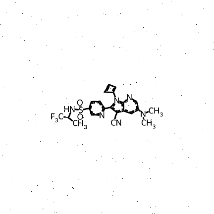 C[C@H](NS(=O)(=O)c1ccc(-c2c(C#N)c3cc(N(C)C)cnc3n2C2=CC=C2)nc1)C(F)(F)F